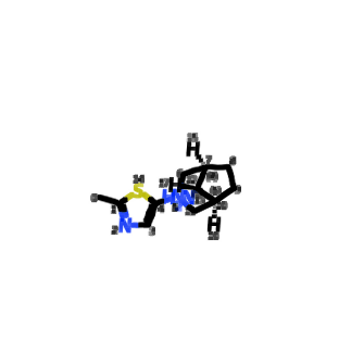 Cc1ncc(N2C[C@H]3CC[C@@H](C2)[C@@H]3N)s1